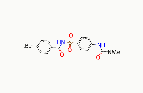 CNC(=O)Nc1ccc(S(=O)(=O)NC(=O)c2ccc(C(C)(C)C)cc2)cc1